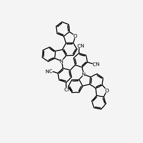 N#Cc1cc(C#N)c(-n2c3ccccc3c3c4c(ccc32)oc2ccccc24)c(-c2cc(C#N)cc(C#N)c2-n2c3ccccc3c3c4c(ccc32)oc2ccccc24)c1